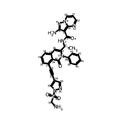 C[C@@H](NC(=O)c1c(N)nn2cccnc12)c1cc2cccc(C#Cc3cnn(S(=O)(=O)CN)c3)c2c(=O)n1-c1ccccc1